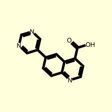 O=C(O)c1ccnc2ccc(-c3cncnc3)cc12